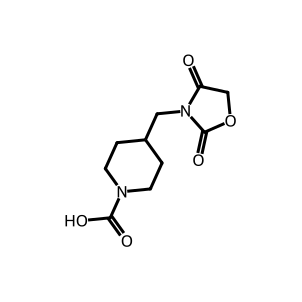 O=C(O)N1CCC(CN2C(=O)COC2=O)CC1